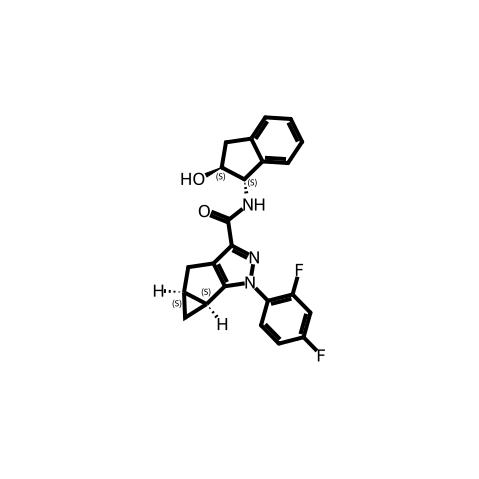 O=C(N[C@H]1c2ccccc2C[C@@H]1O)c1nn(-c2ccc(F)cc2F)c2c1C[C@@H]1C[C@H]21